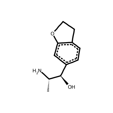 C[C@H](N)[C@H](O)c1ccc2c(c1)OCC2